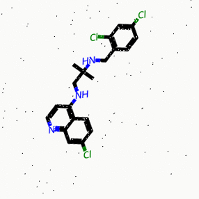 CC(C)(CNc1ccnc2cc(Cl)ccc12)NCc1ccc(Cl)cc1Cl